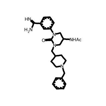 CC(=O)NC1CN(CC2CCN(Cc3ccccc3)CC2)C(=O)N(c2cccc(C(=N)N)c2)C1